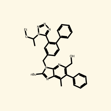 CCCCc1nc2c(C)c(-c3ccccc3)c(CO)nc2n1Cc1ccc(-c2ccccc2)c(-c2nnnn2C(C)OCC)c1